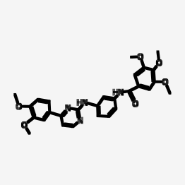 COc1ccc(-c2ccnc(Nc3cccc(NC(=O)c4cc(OC)c(OC)c(OC)c4)c3)n2)cc1OC